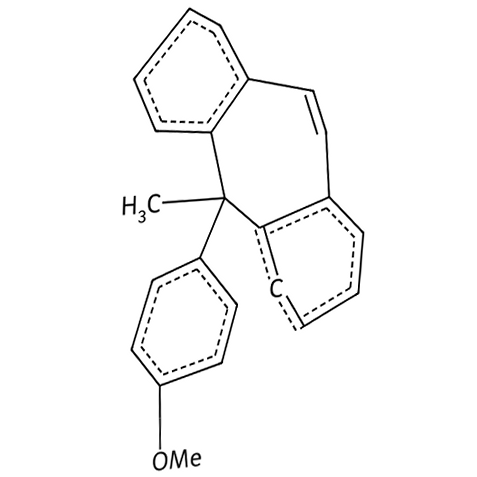 COc1ccc(C2(C)c3ccccc3C=Cc3ccccc32)cc1